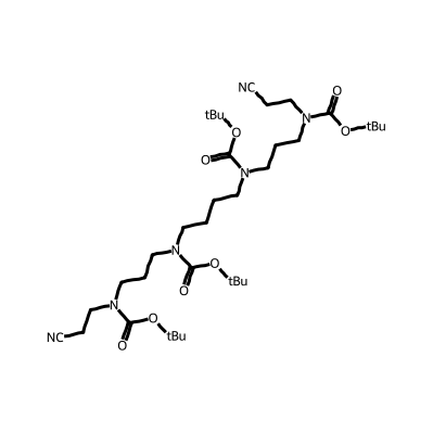 CC(C)(C)OC(=O)N(CCC#N)CCCN(CCCCN(CCCN(CCC#N)C(=O)OC(C)(C)C)C(=O)OC(C)(C)C)C(=O)OC(C)(C)C